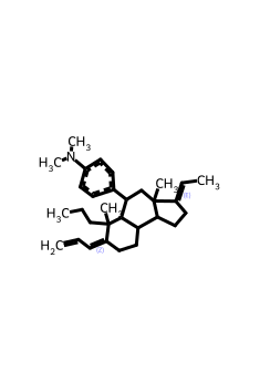 C=C/C=C1/CCC2C(C(c3ccc(N(C)C)cc3)CC3(C)/C(=C/C)CCC23)C1(C)CCC